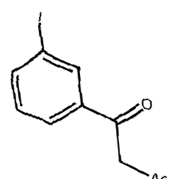 CC(=O)CC(=O)c1cccc(I)c1